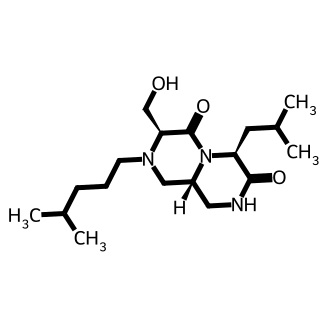 CC(C)CCCN1C[C@H]2CNC(=O)[C@H](CC(C)C)N2C(=O)[C@@H]1CO